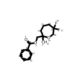 CC1(COC(=O)c2ccccc2)CCCC(F)(F)CO1